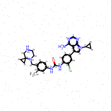 Nc1ncnc2c1c(-c1ccc(NC(=O)Nc3ccc(CN4CCNCC45CC5)c(C(F)(F)F)c3)c(F)c1)cn2C1CC1